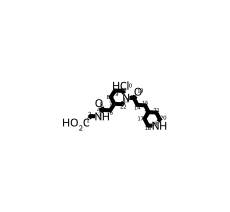 Cl.O=C(O)CNC(=O)CC1CCCN(C(=O)CCC2CCNCC2)C1